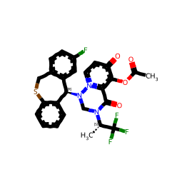 CC(=O)Oc1c2n(ccc1=O)N([C@@H]1c3cc(F)ccc3CSc3ccccc31)CN([C@@H](C)C(F)(F)F)C2=O